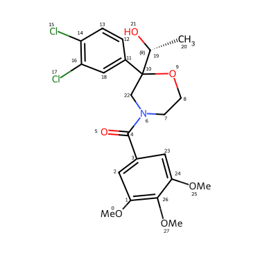 COc1cc(C(=O)N2CCOC(c3ccc(Cl)c(Cl)c3)([C@@H](C)O)C2)cc(OC)c1OC